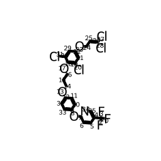 FC(F)(F)c1ccc(Oc2ccc(OCCCOc3c(Cl)cc(OCC=C(Cl)Cl)cc3Cl)cc2)nc1